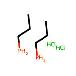 CCCP.CCCP.Cl.Cl